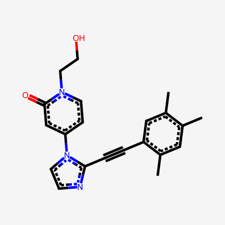 Cc1cc(C)c(C#Cc2nccn2-c2ccn(CCO)c(=O)c2)cc1C